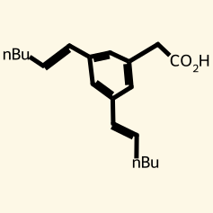 CCCC/C=C/c1cc(/C=C/CCCC)cc(CC(=O)O)c1